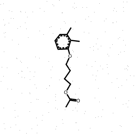 CC(=O)OCCCCOc1cccc(C)c1C